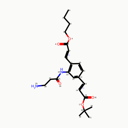 CCCCOC(=O)/C=C/c1ccc(/C=C/C(=O)OC(C)(C)C)cc1NC(=O)CCN